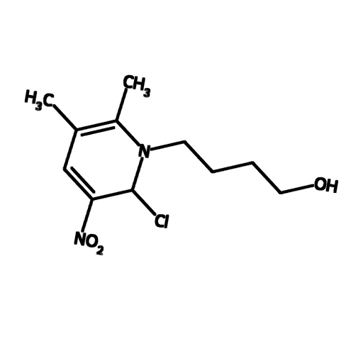 CC1=C(C)N(CCCCO)C(Cl)C([N+](=O)[O-])=C1